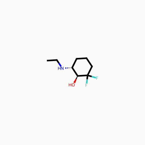 CCN[C@@H]1CCCC(F)(F)[C@H]1O